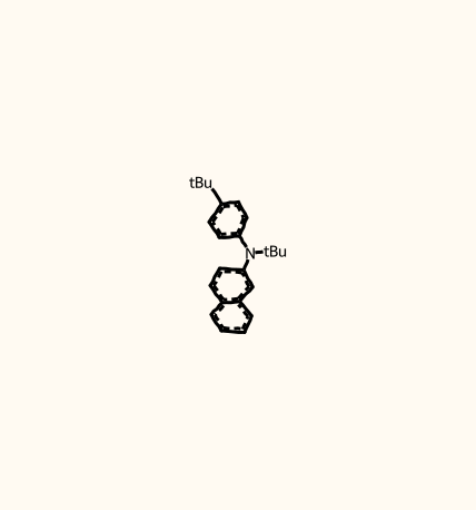 CC(C)(C)c1ccc(N(c2ccc3ccccc3c2)C(C)(C)C)cc1